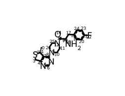 C[C@@H]1SCc2ncnc(N3CCN(C(=O)[C@H](N)Cc4ccc(F)cc4)CC3)c21